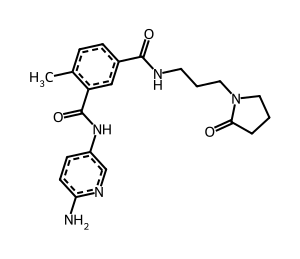 Cc1ccc(C(=O)NCCCN2CCCC2=O)cc1C(=O)Nc1ccc(N)nc1